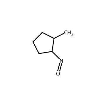 CC1CCCC1N=O